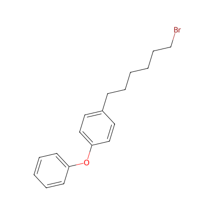 BrCCCCCCc1ccc(Oc2ccccc2)cc1